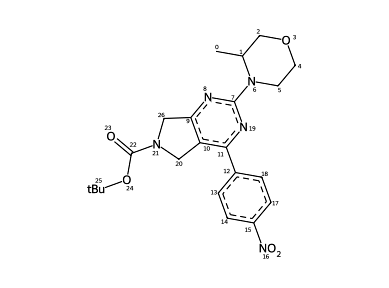 CC1COCCN1c1nc2c(c(-c3ccc([N+](=O)[O-])cc3)n1)CN(C(=O)OC(C)(C)C)C2